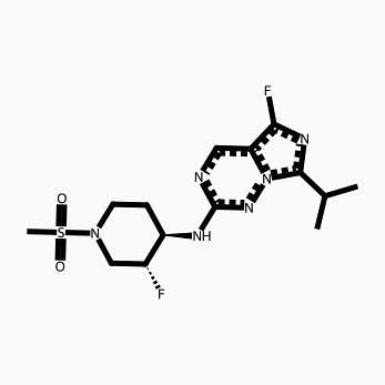 CC(C)c1nc(F)c2cnc(N[C@@H]3CCN(S(C)(=O)=O)C[C@H]3F)nn12